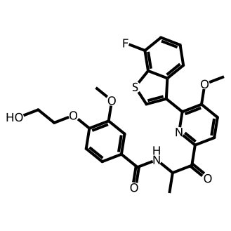 COc1cc(C(=O)NC(C)C(=O)c2ccc(OC)c(-c3csc4c(F)cccc34)n2)ccc1OCCO